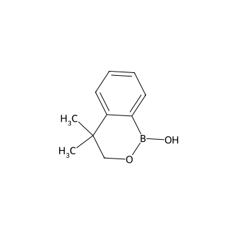 CC1(C)COB(O)c2ccccc21